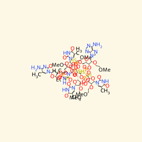 CC[C@H]1O[C@@H](n2cc(C)c(N)nc2=O)CC1OP(=O)(S)OC[C@H]1O[C@@H](n2cc(C)c(=O)[nH]c2=O)[C@@H](OCCOC)C1OP(=O)(S)OC[C@H]1O[C@@H](n2cc(C)c(=O)[nH]c2=O)[C@@H](OCCOC)C1OP(=O)(S)OC[C@H]1O[C@@H](n2cc(C)c(=O)[nH]c2=O)[C@@H](OCCOC)C1OP(=O)(S)OC[C@H]1O[C@@H](n2cnc3c(N)ncnc32)[C@@H](OCCOC)C1OP(=O)(S)OC[C@H]1O[C@@H](n2cc(C)c(=O)[nH]c2=O)[C@@H](OCCOC)C1O